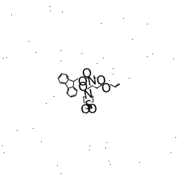 C=CCOC(=O)C[C@@H](C(=O)N1CCS(=O)(=O)CC1)N(C)C(=O)OCC1c2ccccc2-c2ccccc21